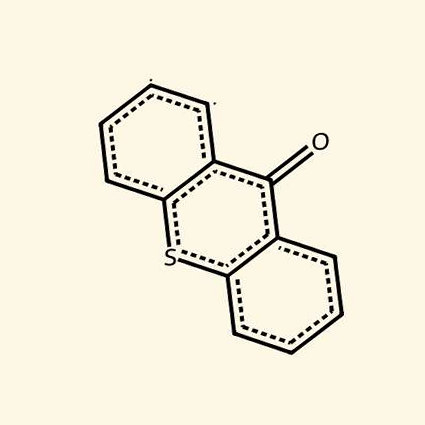 O=c1c2[c][c]ccc2sc2ccccc12